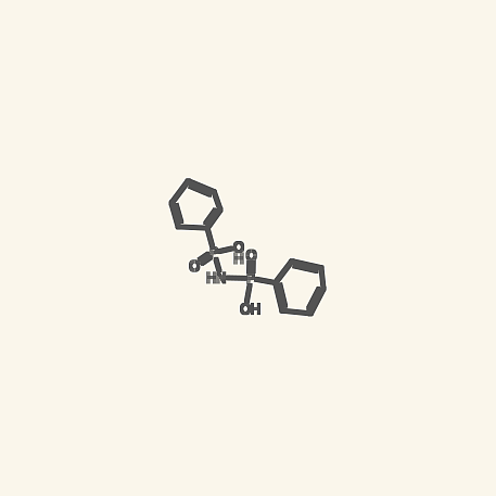 O=P(O)(NP(=O)(O)c1ccccc1)c1ccccc1